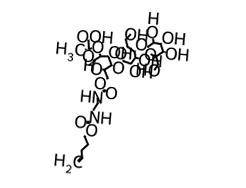 C=CCCCOC(=O)NCCNC(=O)OCC1O[C@@H]2O[C@@](C)(C(=O)O)OC2C(O)[C@@H]1O[C@@H]1OC(CO)[C@H](O[C@H]2OC(CO)[C@H](O)C(O)C2O)C(O)C1O